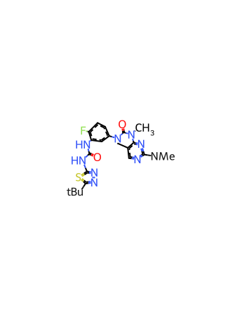 CNc1ncc2c(n1)N(C)C(=O)N(c1ccc(F)c(NC(=O)Nc3nnc(C(C)(C)C)s3)c1)C2